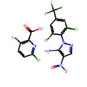 Nc1c([N+](=O)[O-])cnn1-c1c(Cl)cc(C(F)(F)F)cc1Cl.O=C(O)c1nc(Cl)ccc1Cl